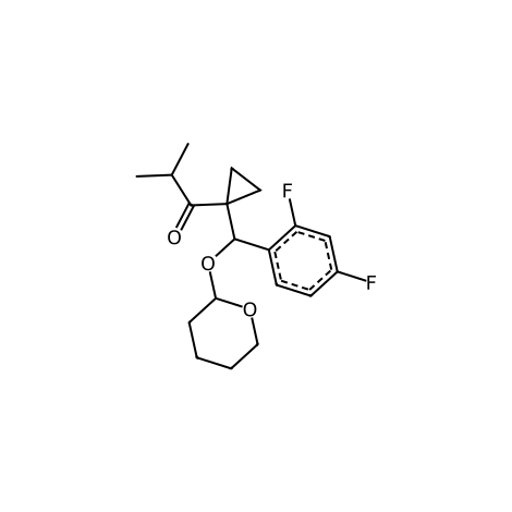 CC(C)C(=O)C1(C(OC2CCCCO2)c2ccc(F)cc2F)CC1